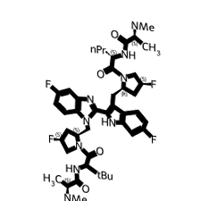 CCC[C@H](NC(=O)[C@H](C)NC)C(=O)N1C[C@@H](F)C[C@H]1Cc1c(-c2nc3cc(F)ccc3n2C[C@@H]2C[C@H](F)CN2C(=O)C(NC(=O)[C@H](C)NC)C(C)(C)C)[nH]c2cc(F)ccc12